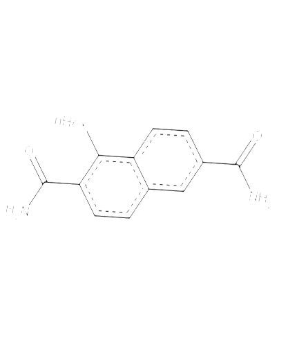 CCCCCCc1c(C(N)=O)ccc2cc(C(N)=O)ccc12